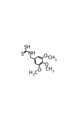 COc1cc(CNC(=S)S)cc(OC)c1OC